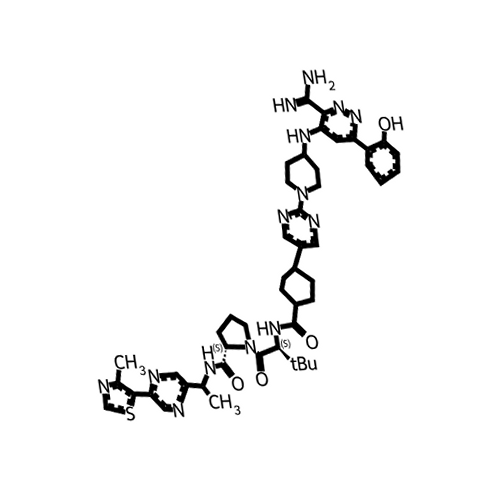 Cc1ncsc1-c1cnc(C(C)NC(=O)[C@@H]2CCCN2C(=O)[C@@H](NC(=O)C2CCC(c3cnc(N4CCC(Nc5cc(-c6ccccc6O)nnc5C(=N)N)CC4)nc3)CC2)C(C)(C)C)cn1